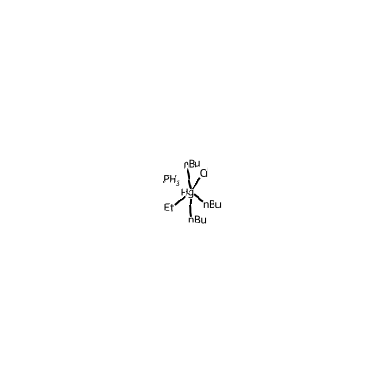 CCC[CH2][Hg]([Cl])([CH2]C)([CH2]CCC)[CH2]CCC.P